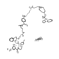 CN(CCN1CCC(OC(=O)Nc2ccccc2-c2ccccc2)CC1)C(=O)CCCCCNc1ccc(C(=O)N(C)CCCN(C)C(=O)CO[C@H]2Cc3ccccc3C23CCN(CC[C@]2(c4ccc(F)cc4)CN(C(=O)c4cc(C(F)(F)F)cc(C(F)(F)F)c4)CCO2)CC3)cc1.Cl.Cl.Cl